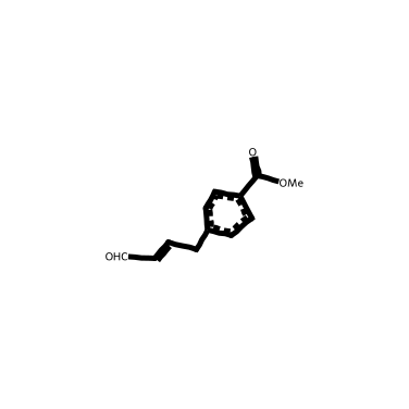 COC(=O)c1ccc(C/C=C/C=O)cc1